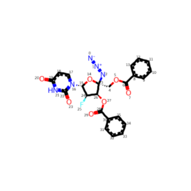 [N-]=[N+]=N[C@]1(COC(=O)c2ccccc2)O[C@@H](n2ccc(=O)[nH]c2=O)[C@H](F)[C@@H]1OC(=O)c1ccccc1